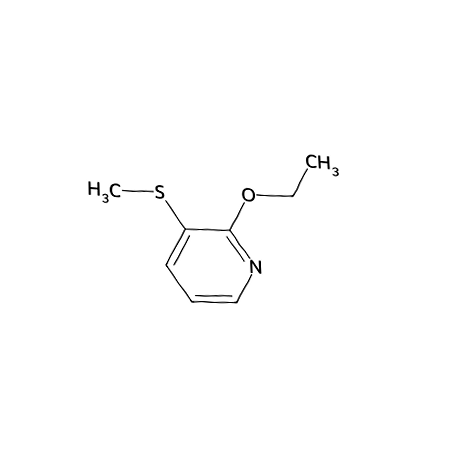 CCOc1ncccc1SC